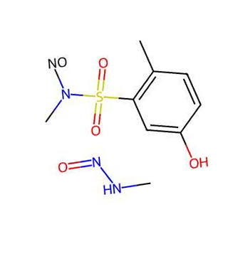 CNN=O.Cc1ccc(O)cc1S(=O)(=O)N(C)N=O